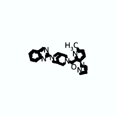 Cc1ccc(-n2cccn2)c(C(=O)N2CC3CC(C2)CN(c2ncc4ccccc4n2)C3)n1